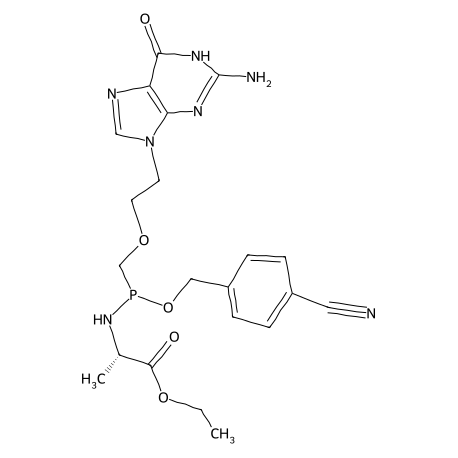 CCOC(=O)[C@H](C)NP(COCCn1cnc2c(=O)[nH]c(N)nc21)OCc1ccc(C#N)cc1